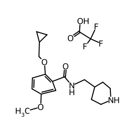 COc1ccc(OCC2CC2)c(C(=O)NCC2CCNCC2)c1.O=C(O)C(F)(F)F